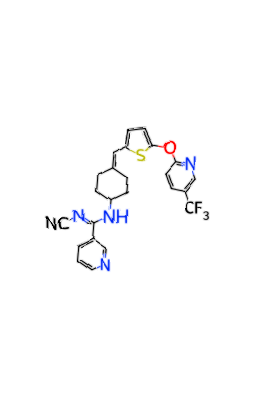 N#CN=C(NC1CCC(=Cc2ccc(Oc3ccc(C(F)(F)F)cn3)s2)CC1)c1cccnc1